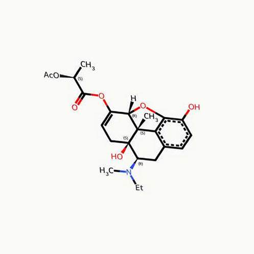 CCN(C)[C@@H]1Cc2ccc(O)c3c2[C@@]2(C)[C@@H](O3)C(OC(=O)[C@H](C)OC(C)=O)=CC[C@@]12O